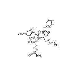 Cc1cc(O)cc(C)c1CC(NC(=O)C(N)CCCC(=N)N)C(=O)NC(CCCCN)c1nc(Cc2ccccc2)no1